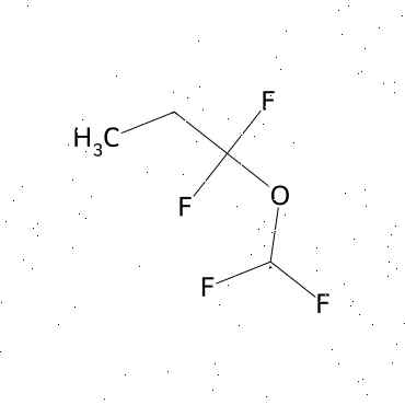 CCC(F)(F)O[C](F)F